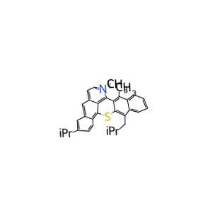 Cc1c2c(c(CC(C)C)c3ccccc13)Sc1c3ccc(C(C)C)cc3cc3cc[n+](C)c-2c13